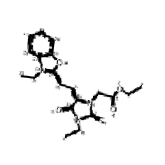 CCOC(=O)CN1C(=S)N(CC)C(=O)/C1=C\C=C1/Oc2ccccc2N1CC